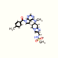 Cc1ccc(C(=O)n2ccc3c(N(C)C4CCn5cc(CNS(C)(=O)=O)nc5C4)ncnc32)cc1